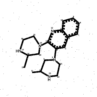 CC1CN(c2cc3ccccc3nc2N2CCNC(C)C2)CCN1